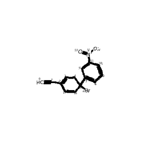 C#CC1=CCC(Br)(c2cccc([N+](=O)[O-])c2)C=C1